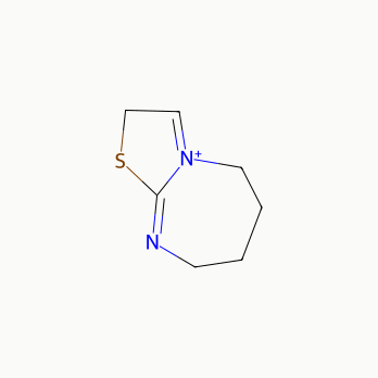 C1=[N+]2CCCCN=C2SC1